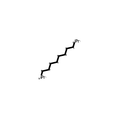 C[C](C)CCCCCCCC[C](C)C